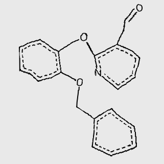 O=Cc1cccnc1Oc1ccccc1OCc1ccccc1